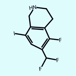 Fc1c(C(F)F)cc(I)c2c1CCNC2